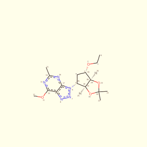 CCO[C@H]1C[C@@H](n2nnc3c(OC)nc(C)nc32)[C@@H]2OC(C)(C)O[C@@H]21